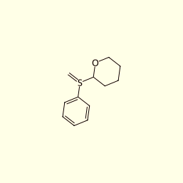 C=S(c1ccccc1)C1CCCCO1